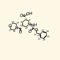 O=C(NN1C[C@@H](C(=O)O)C[C@@H](C(=O)N2CCOCC2)C1)OCc1ccccc1